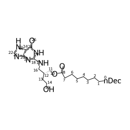 CCCCCCCCCCCCCCCCCC(=O)OC[C@H](CCO)CNc1nc2nc[nH]c2c(=O)[nH]1